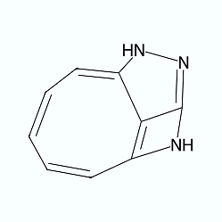 C1=C\C=c2\[nH]nc3c2=C(\C=C/1)N3